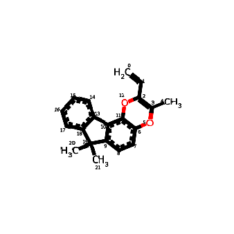 C=CC1=C(C)Oc2ccc3c(c2O1)-c1ccccc1C3(C)C